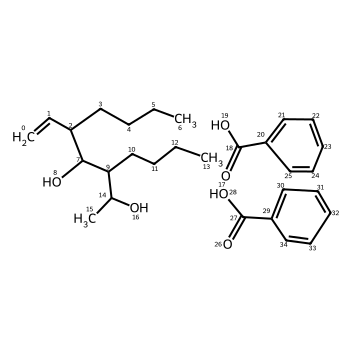 C=CC(CCCC)C(O)C(CCCC)C(C)O.O=C(O)c1ccccc1.O=C(O)c1ccccc1